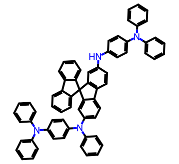 c1ccc(N(c2ccccc2)c2ccc(Nc3ccc4c(c3)C3(c5ccccc5-c5ccccc53)c3cc(N(c5ccccc5)c5ccc(N(c6ccccc6)c6ccccc6)cc5)ccc3-4)cc2)cc1